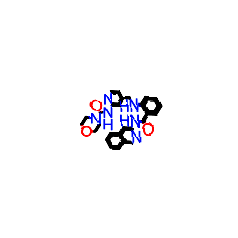 O=C(Nc1cc2ccccc2cn1)c1ccccc1NCc1ccnc(NC(=O)N2CCOCC2)c1